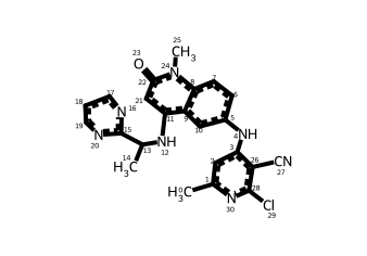 Cc1cc(Nc2ccc3c(c2)c(NC(C)c2ncccn2)cc(=O)n3C)c(C#N)c(Cl)n1